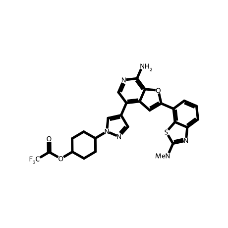 CNc1nc2cccc(-c3cc4c(-c5cnn(C6CCC(OC(=O)C(F)(F)F)CC6)c5)cnc(N)c4o3)c2s1